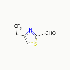 O=Cc1nc(CC(F)(F)F)cs1